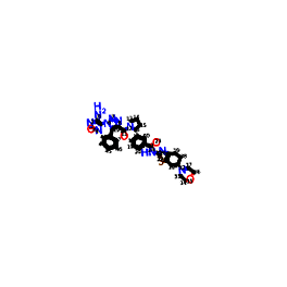 Nc1nonc1-n1nnc(C(=O)N2CCC[C@@H]2c2cccc(C(=O)Nc3nc4c(s3)C[C@@H](N3CCOCC3)CC4)c2)c1-c1ccccc1